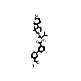 COC(=O)c1cccc(-c2cccc(C(=O)N[C@@H](C(=O)N3CCC(c4ccc(Cl)cc4)C(C)(C)C3)C(C)C)c2)c1